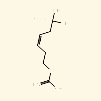 CC(=N)NCC/C=C\C[C@](C)(N)C(=O)O